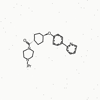 CC(C)N1CCN(C(=O)[C@H]2CC[C@H](Oc3ccc(-c4ccccn4)cc3)CC2)CC1